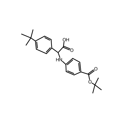 CC(C)(C)OC(=O)c1ccc(NC(C(=O)O)c2ccc(C(C)(C)C)cc2)cc1